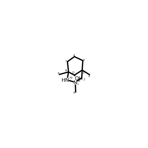 CN1CC2(C)CCCC(C)(N1)C2O